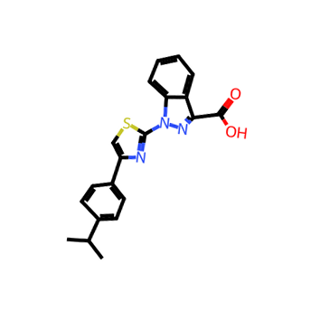 CC(C)c1ccc(-c2csc(-n3nc(C(=O)O)c4ccccc43)n2)cc1